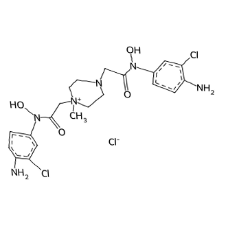 C[N+]1(CC(=O)N(O)c2ccc(N)c(Cl)c2)CCN(CC(=O)N(O)c2ccc(N)c(Cl)c2)CC1.[Cl-]